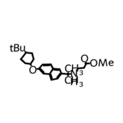 COC(=O)CCNC(C)(C)c1ccc2cc(OC3CCC(C(C)(C)C)CC3)ccc2c1